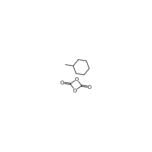 CC1CCCCC1.O=C1OC(=O)O1